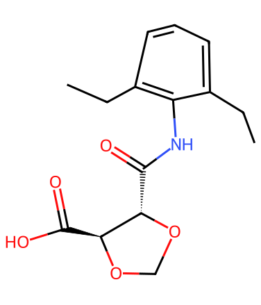 CCc1cccc(CC)c1NC(=O)[C@@H]1OCO[C@H]1C(=O)O